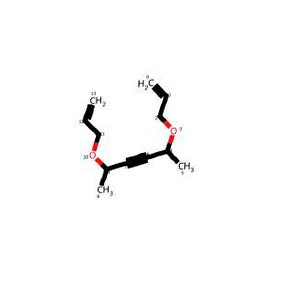 C=CCOC(C)C#CC(C)OCC=C